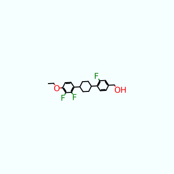 CCOc1ccc(C2CCC(c3ccc(CO)cc3F)CC2)c(F)c1F